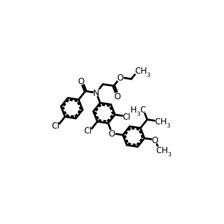 CCOC(=O)CN(C(=O)c1ccc(Cl)cc1)c1cc(Cl)c(Oc2ccc(OC)c(C(C)C)c2)c(Cl)c1